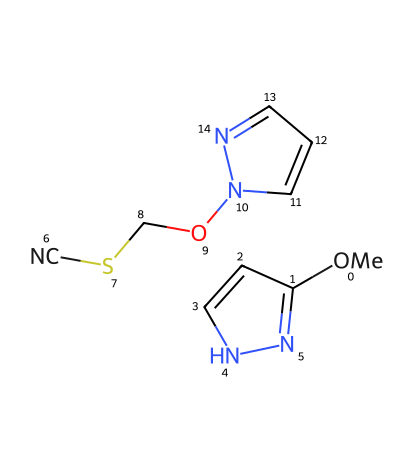 COc1cc[nH]n1.N#CSCOn1cccn1